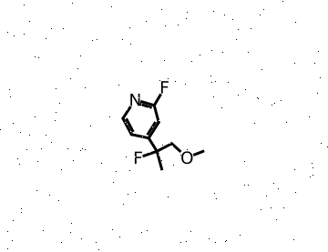 COCC(C)(F)c1ccnc(F)c1